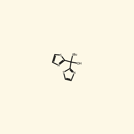 CC(C)(C)C(O)(c1nccs1)c1nccs1